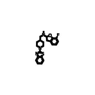 CN(CC1CCN(c2nc3ccccc3s2)CC1)C1Cc2cccc(F)c2O1